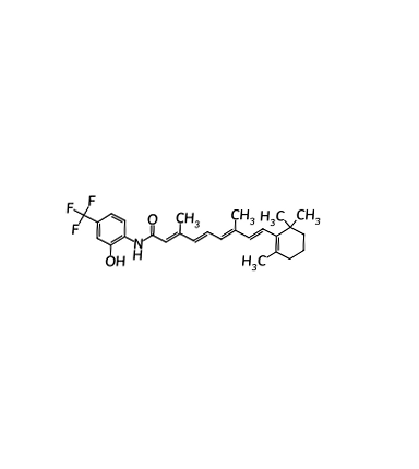 CC1=C(/C=C/C(C)=C/C=C/C(C)=C/C(=O)Nc2ccc(C(F)(F)F)cc2O)C(C)(C)CCC1